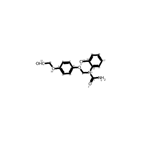 NC(=O)N(COc1ccc(OC[C]=O)cc1)c1ccccc1Cl